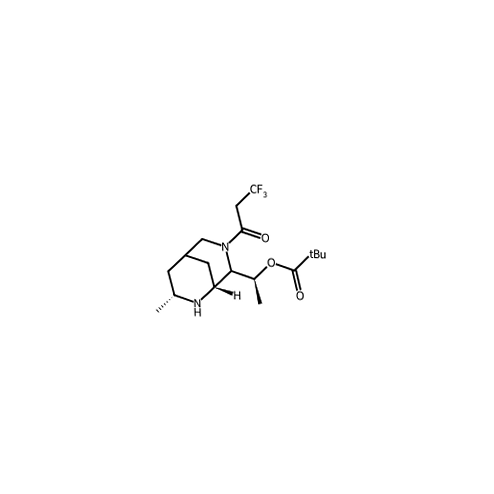 C[C@@H]1CC2C[C@@H](N1)C([C@H](C)OC(=O)C(C)(C)C)N(C(=O)CC(F)(F)F)C2